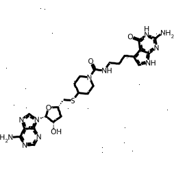 Nc1nc2[nH]cc(CCCNC(=O)N3CCC(SC[C@@H]4C[C@H](O)[C@H](n5cnc6c(N)ncnc65)O4)CC3)c2c(=O)[nH]1